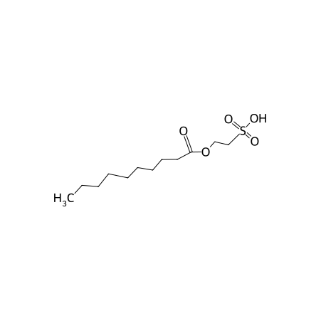 CCCCCCCCCC(=O)OCCS(=O)(=O)O